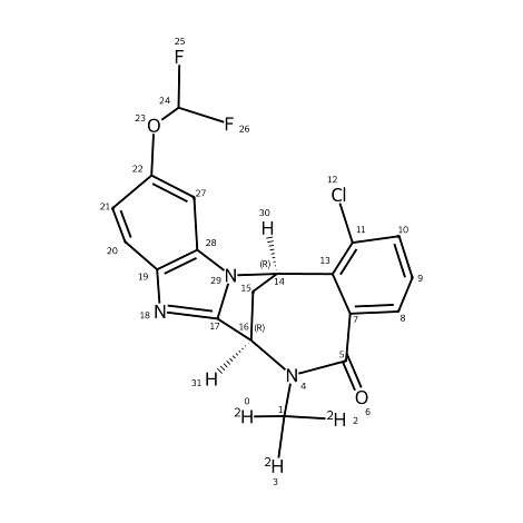 [2H]C([2H])([2H])N1C(=O)c2cccc(Cl)c2[C@H]2C[C@@H]1c1nc3ccc(OC(F)F)cc3n12